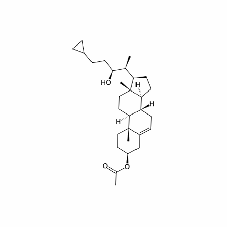 CC(=O)O[C@H]1CC[C@@]2(C)C(=CC[C@H]3[C@@H]4CC[C@H]([C@H](C)[C@@H](O)CCC5CC5)[C@@]4(C)CC[C@@H]32)C1